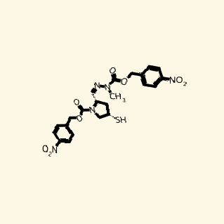 CN(/N=C\[C@@H]1C[C@H](S)CN1C(=O)OCc1ccc([N+](=O)[O-])cc1)C(=O)OCc1ccc([N+](=O)[O-])cc1